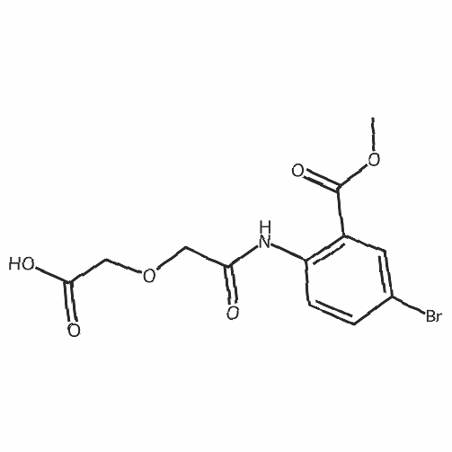 COC(=O)c1cc(Br)ccc1NC(=O)COCC(=O)O